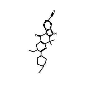 CCC1CC2=C(C=C1N1CCN(CC)CC1)C(C)(C)c1[nH]c3cc(C#N)ccc3c1C2=O